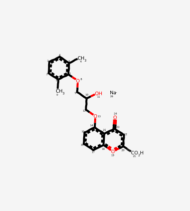 Cc1cccc(C)c1OCC(O)COc1cccc2oc(C(=O)O)cc(=O)c12.[Na]